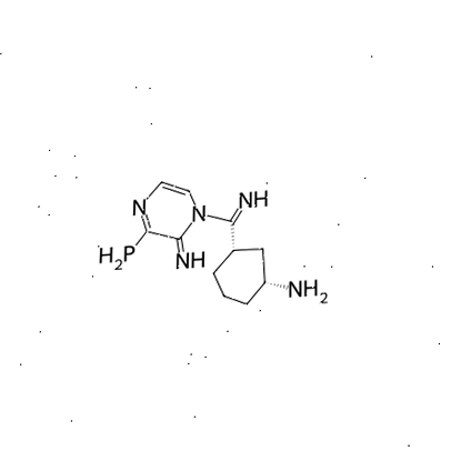 N=C([C@H]1CCC[C@@H](N)C1)n1ccnc(P)c1=N